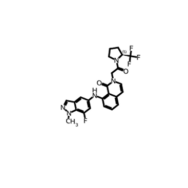 Cn1ncc2cc(Nc3cccc4ccn(CC(=O)N5CCC[C@H]5C(F)(F)F)c(=O)c34)cc(F)c21